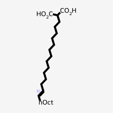 CCCCCCCC/C=C/CCCCCCCCCCCCC(C(=O)O)C(=O)O